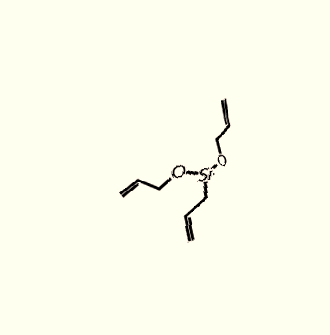 C=CCO[Si](CC=C)OCC=C